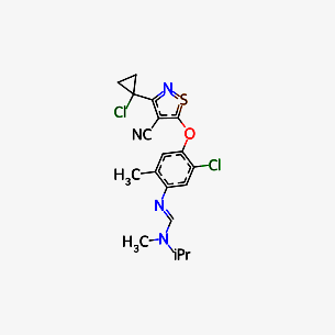 Cc1cc(Oc2snc(C3(Cl)CC3)c2C#N)c(Cl)cc1N=CN(C)C(C)C